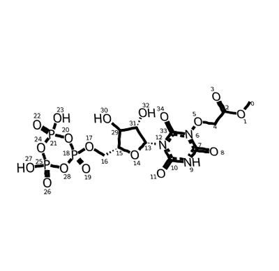 COC(=O)COn1c(=O)[nH]c(=O)n([C@@H]2O[C@H](COP3(=O)OP(=O)(O)OP(=O)(O)O3)C(O)[C@@H]2O)c1=O